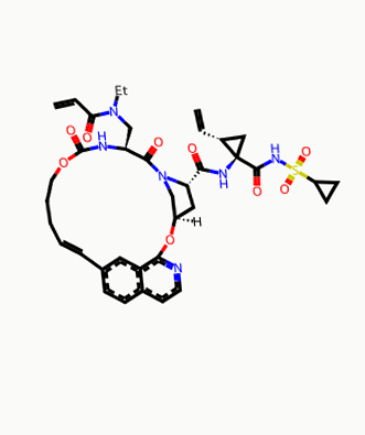 C=CC(=O)N(CC)C[C@@H]1NC(=O)OCCC/C=C/c2ccc3ccnc(c3c2)O[C@@H]2C[C@@H](C(=O)N[C@]3(C(=O)NS(=O)(=O)C4CC4)C[C@H]3C=C)N(C2)C1=O